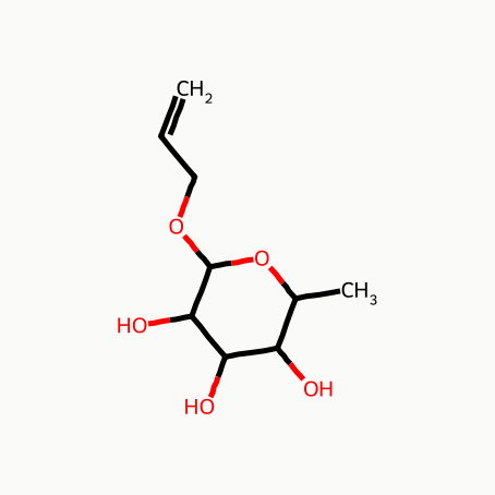 C=CCOC1OC(C)C(O)C(O)C1O